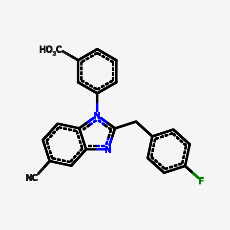 N#Cc1ccc2c(c1)nc(Cc1ccc(F)cc1)n2-c1cccc(C(=O)O)c1